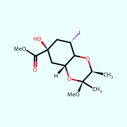 COC(=O)[C@]1(O)C[C@H](I)C2O[C@@H](C)[C@@](C)(OC)O[C@@H]2C1